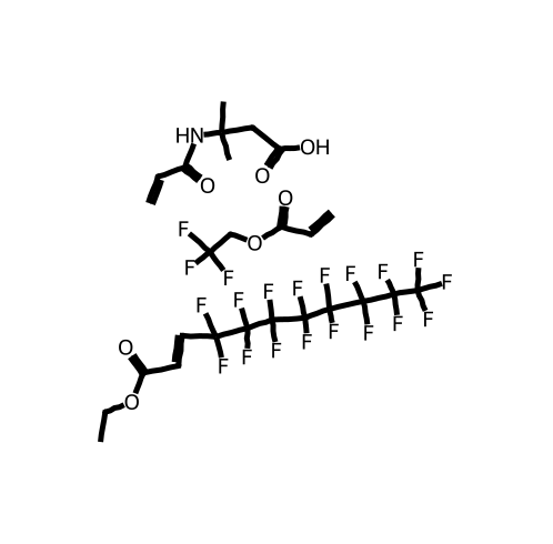 C=CC(=O)NC(C)(C)CC(=O)O.C=CC(=O)OCC(F)(F)F.CCOC(=O)C=CC(F)(F)C(F)(F)C(F)(F)C(F)(F)C(F)(F)C(F)(F)C(F)(F)C(F)(F)F